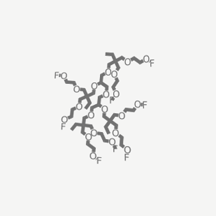 CCC(COCCOF)(COCCOF)COCC(COCC(COCC(CC)(COCCOF)COCCOF)OCC(CC)(COCCOF)COCCOF)OCC(CC)(COCCOF)COCCOF